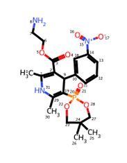 CC1=C(C(=O)OCCN)C(c2cccc([N+](=O)[O-])c2)C(P2(=O)OCC(C)(C)CO2)=C(C)N1